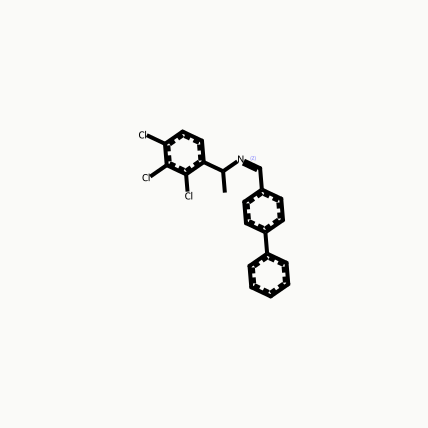 CC(/N=C\c1ccc(-c2ccccc2)cc1)c1ccc(Cl)c(Cl)c1Cl